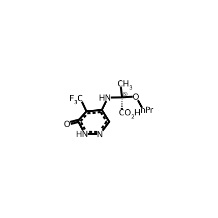 CCCO[C@](C)(Nc1cn[nH]c(=O)c1C(F)(F)F)C(=O)O